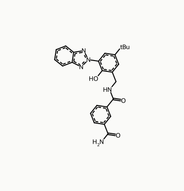 CC(C)(C)c1cc(CNC(=O)c2cccc(C(N)=O)c2)c(O)c(-n2nc3ccccc3n2)c1